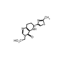 Cc1nc([C@@H]2CCc3ncn(CC(=O)O)c(=O)c3N2)cs1